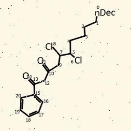 CCCCCCCCCCCCCCC(Cl)C(Cl)CC(=O)CC(=O)c1ccccc1